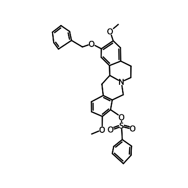 COc1cc2c(cc1OCc1ccccc1)C1Cc3ccc(OC)c(OS(=O)(=O)c4ccccc4)c3CN1CC2